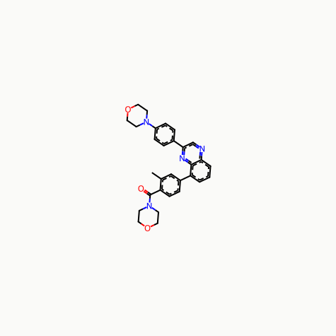 Cc1cc(-c2cccc3ncc(-c4ccc(N5CCOCC5)cc4)nc23)ccc1C(=O)N1CCOCC1